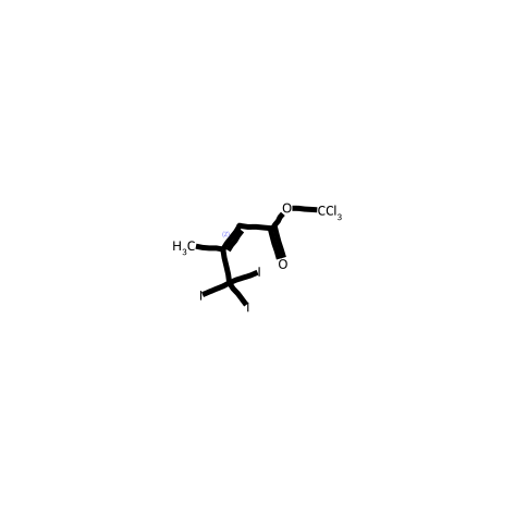 C/C(=C/C(=O)OC(Cl)(Cl)Cl)C(I)(I)I